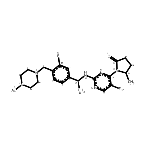 CC(=O)N1CCN(Cc2ccc([C@H](C)Nc3ncc(F)c(N4C(=O)CCC4C)n3)cc2F)CC1